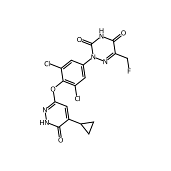 O=c1[nH]nc(Oc2c(Cl)cc(-n3nc(CF)c(=O)[nH]c3=O)cc2Cl)cc1C1CC1